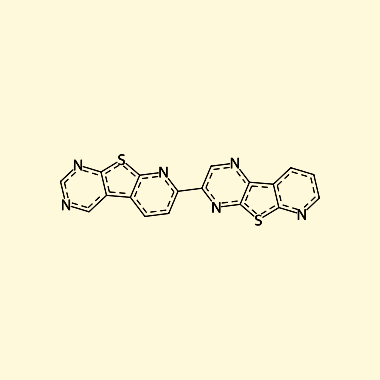 c1cnc2sc3nc(-c4ccc5c(n4)sc4ncncc45)cnc3c2c1